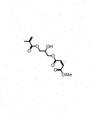 C=C(C)C(=O)OCC(O)COC(=O)/C=C\C(=O)OC